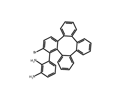 Nc1cccc(-c2c(Br)ccc3c2-c2ccccc2-c2ccccc2-c2ccccc2-3)c1N